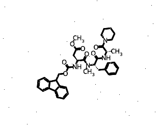 COC(=O)C[C@H](NC(=O)OCC1c2ccccc2-c2ccccc21)C(=O)N(C)[C@@H](Cc1ccccc1)C(=O)N[C@@H](C)C(=O)N1CCCCC1